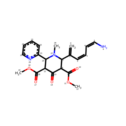 C=C(/C=C\C=C/N)C1C(C(=O)OC)C(=O)C(C(=O)OC)C(c2ccccn2)N1C